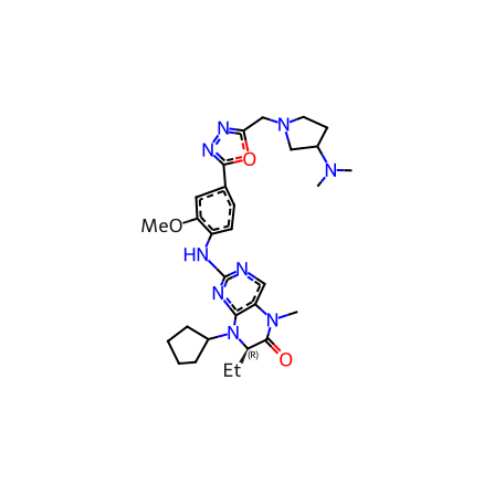 CC[C@@H]1C(=O)N(C)c2cnc(Nc3ccc(-c4nnc(CN5CCC(N(C)C)C5)o4)cc3OC)nc2N1C1CCCC1